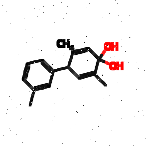 C.CC1=CC(c2cccc(C)c2)C=CC1(O)O